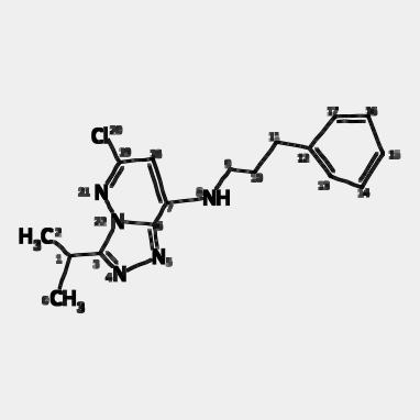 CC(C)c1nnc2c(NCCCc3ccccc3)cc(Cl)nn12